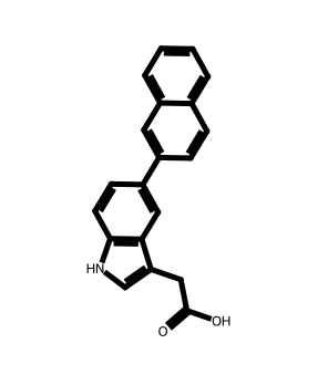 O=C(O)Cc1c[nH]c2ccc(-c3ccc4ccccc4c3)cc12